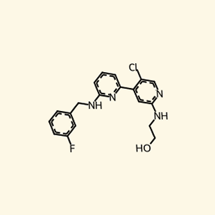 OCCNc1cc(-c2cccc(NCc3cccc(F)c3)n2)c(Cl)cn1